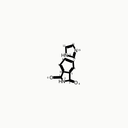 O=C1NC(=O)c2ccccc21.c1c[nH]cn1